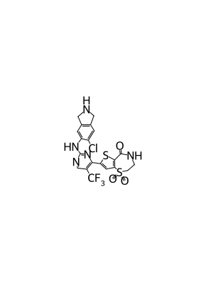 O=C1NCCS(=O)(=O)c2cc(-c3nc(Nc4cc5c(cc4Cl)CNC5)ncc3C(F)(F)F)sc21